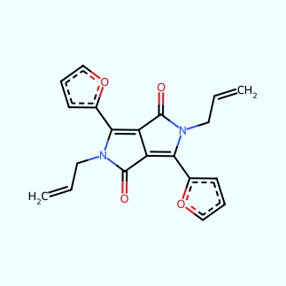 C=CCN1C(=O)C2=C(c3ccco3)N(CC=C)C(=O)C2=C1c1ccco1